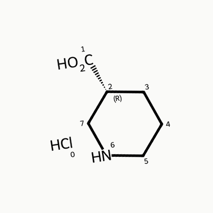 Cl.O=C(O)[C@@H]1CCCNC1